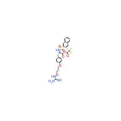 N=C(N)NOCCCOc1ccc(C[C@H](NS(=O)(=O)c2ccc3ccccc3c2)C(=O)OC(=O)C(F)(F)F)cc1